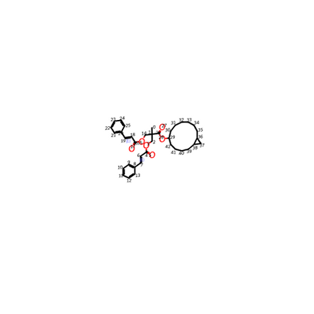 CC(COC(=O)/C=C/c1ccccc1)(COC(=O)/C=C/c1ccccc1)C(=O)OC1CCCCCCC2CC2CCCC1